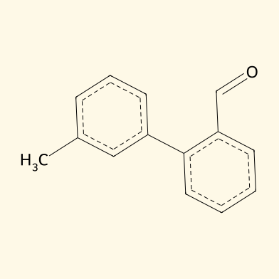 Cc1cccc(-c2ccccc2C=O)c1